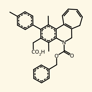 Cc1ccc(-c2c(C)c3c(c(C)c2CC(=O)O)N(C(=O)OCc2ccccc2)CC2=C3C=CC=CC2)cc1